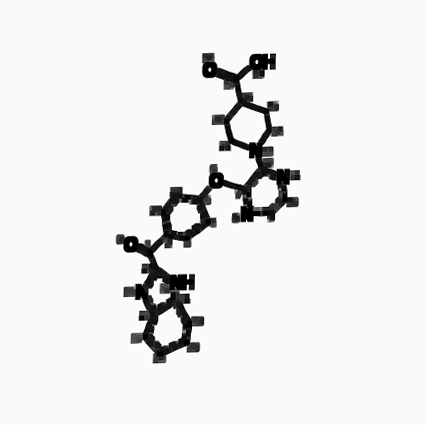 O=C(c1ccc(Oc2nccnc2N2CCC(C(=O)O)CC2)cc1)c1nc2ccccc2[nH]1